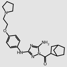 Nc1nc(Nc2ccc(OCCN3CCCC3)cc2)nn1C(=O)C1CC2CCC1C2